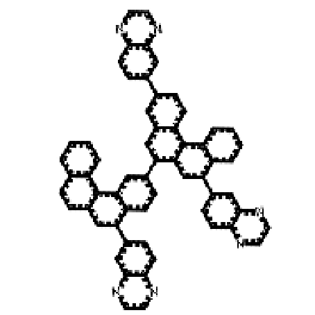 c1ccc2c(c1)ccc1cc(-c3ccc4nccnc4c3)c3ccc(-c4cc5cc(-c6ccc7nccnc7c6)ccc5c5c4cc(-c4ccc6nccnc6c4)c4ccccc45)cc3c12